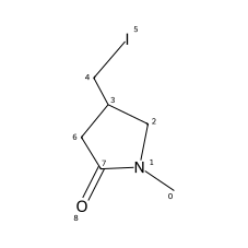 CN1CC(CI)CC1=O